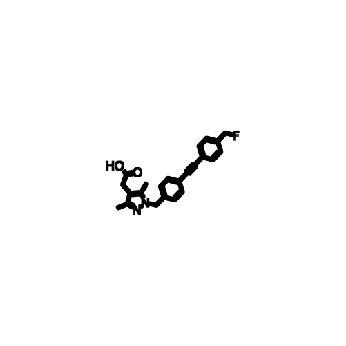 Cc1nn(Cc2ccc(C#Cc3ccc(CF)cc3)cc2)c(C)c1CC(=O)O